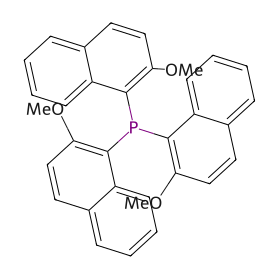 COc1ccc2ccccc2c1P(c1c(OC)ccc2ccccc12)c1c(OC)ccc2ccccc12